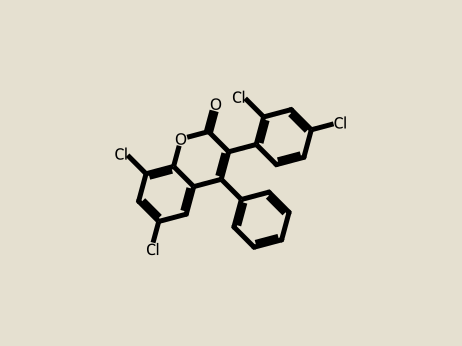 O=c1oc2c(Cl)cc(Cl)cc2c(-c2ccccc2)c1-c1ccc(Cl)cc1Cl